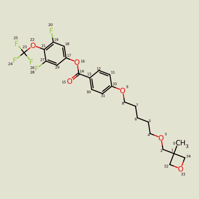 CC1(COCCCCCOc2ccc(C(=O)Oc3cc(F)c(OC(F)(F)F)c(F)c3)cc2)COC1